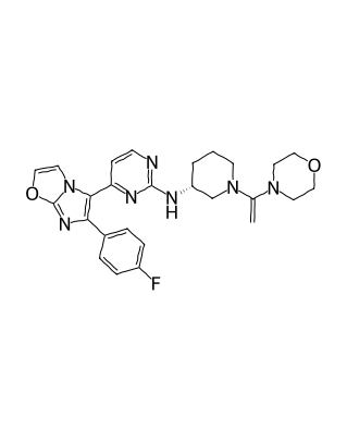 C=C(N1CCOCC1)N1CCC[C@@H](Nc2nccc(-c3c(-c4ccc(F)cc4)nc4occn34)n2)C1